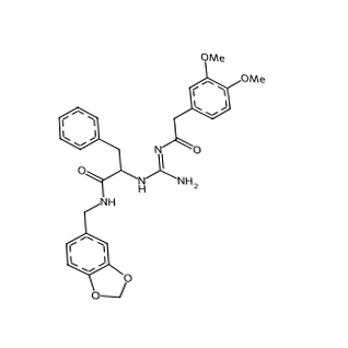 COc1ccc(CC(=O)N=C(N)NC(Cc2ccccc2)C(=O)NCc2ccc3c(c2)OCO3)cc1OC